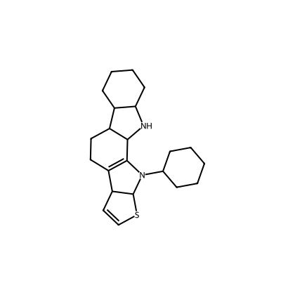 C1=CC2C3=C(C4NC5CCCCC5C4CC3)N(C3CCCCC3)C2S1